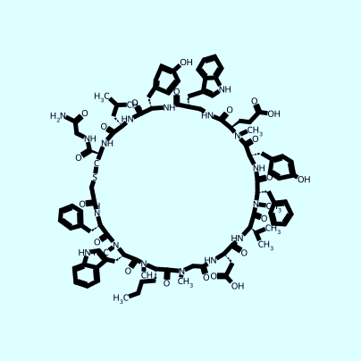 CCCC[C@H]1C(=O)N(C)CC(=O)N[C@@H](CC(=O)O)C(=O)N[C@@H](C(C)C)C(=O)N(C)[C@@H](Cc2ccccc2)C(=O)N[C@@H](Cc2ccc(O)cc2)C(=O)N(C)[C@H](CCC(=O)O)C(=O)NC[C@@H](Cc2c[nH]c3ccccc23)C(=O)N[C@@H](Cc2ccc(O)cc2)C(=O)N[C@@H](CC(C)C)C(=O)N[C@H](C(=O)NCC(N)=O)CSCC(=O)N[C@@H](Cc2ccccc2)C(=O)N(C)[C@@H](Cc2c[nH]c3ccccc23)C(=O)N1C